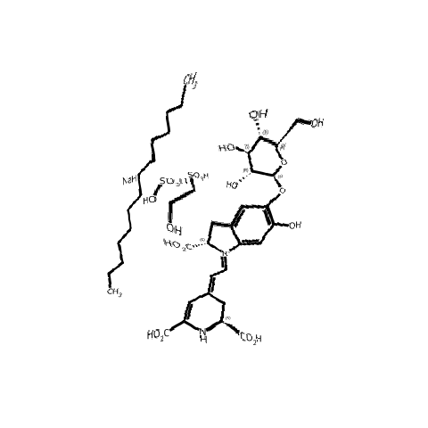 CCCCCCCCCCCCCC.O=C(O)C1=CC(=CC=[N+]2c3cc(O)c(O[C@@H]4O[C@H](CO)[C@@H](O)[C@H](O)[C@H]4O)cc3C[C@H]2C(=O)O)C[C@@H](C(=O)O)N1.O=S(=O)(O)CCO.O=S(=O)(O)O.[NaH]